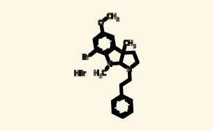 Br.COc1cc(Br)c2c(c1)C1(C)CCN(CCc3ccccc3)C1N2C